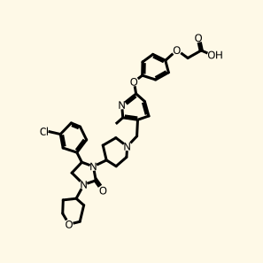 Cc1nc(Oc2ccc(OCC(=O)O)cc2)ccc1CN1CCC(N2C(=O)N(C3CCOCC3)CC2c2cccc(Cl)c2)CC1